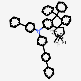 CC[C@@H]1C[C@H]2C[C@H](C)CC1CC21c2ccccc2C(c2ccccc2)(c2ccccc2)c2ccc(N(c3ccc(-c4ccccc4)cc3)c3ccc(-c4ccc(-c5ccccc5)cc4)cc3)cc21